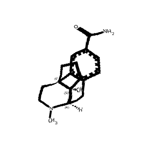 CN1CC[C@]23CCC[C@@]2(O)[C@H]1Cc1ccc(C(N)=O)cc13